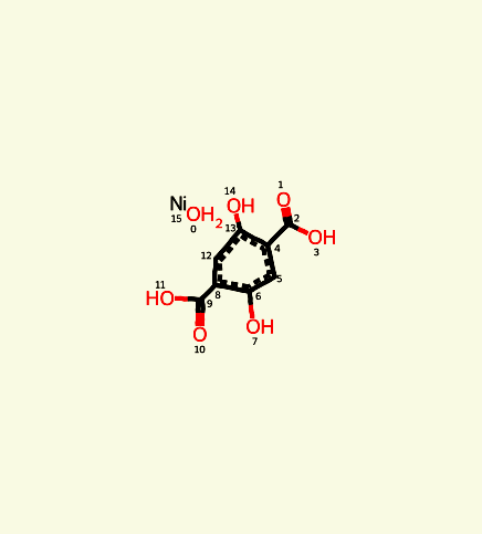 O.O=C(O)c1cc(O)c(C(=O)O)cc1O.[Ni]